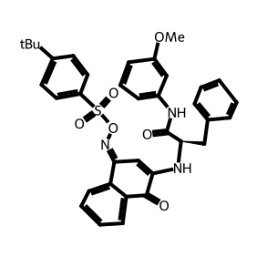 COc1cccc(NC(=O)[C@@H](Cc2ccccc2)NC2=CC(=NOS(=O)(=O)c3ccc(C(C)(C)C)cc3)c3ccccc3C2=O)c1